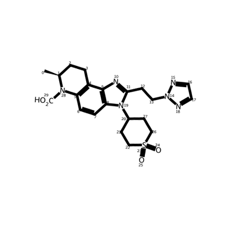 C[C@H]1CCc2c(ccc3c2nc(CCn2nccn2)n3C2CCS(=O)(=O)CC2)N1C(=O)O